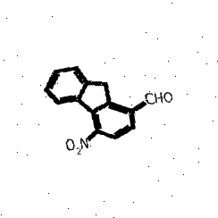 O=Cc1ccc([N+](=O)[O-])c2c1Cc1ccccc1-2